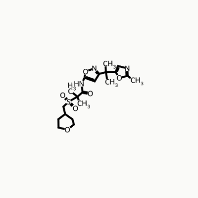 Cc1ncc(C(C)(C)c2cc(NC(=O)C(C)(C)S(=O)(=O)CC3CCOCC3)on2)o1